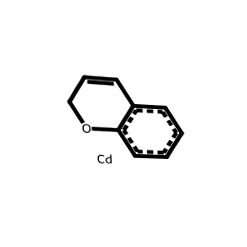 C1=Cc2ccccc2OC1.[Cd]